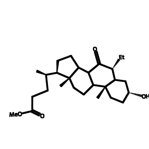 CC[C@H]1C(=O)C2C(CC[C@@]3(C)C2CC[C@@H]3[C@H](C)CCC(=O)OC)[C@@]2(C)CC[C@@H](O)CC12